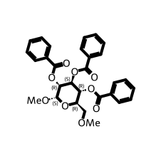 COC[C@H]1O[C@H](OC)[C@H](OC(=O)c2ccccc2)[C@@H](OC(=O)c2ccccc2)[C@@H]1OC(=O)c1ccccc1